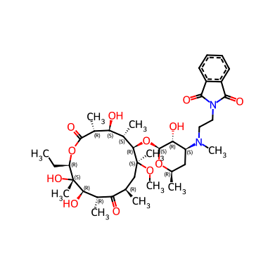 CC[C@H]1OC(=O)[C@H](C)[C@@H](O)[C@H](C)[C@@H](O[C@@H]2O[C@H](C)C[C@H](N(C)CCN3C(=O)c4ccccc4C3=O)[C@H]2O)[C@@](C)(OC)C[C@@H](C)C(=O)[C@H](C)[C@@H](O)[C@]1(C)O